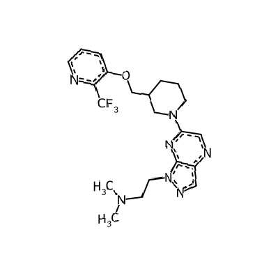 CN(C)CCn1ncc2ncc(N3CCCC(COc4cccnc4C(F)(F)F)C3)nc21